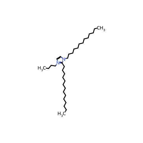 CCCCCCCCCCCCCCc1n(CCCCCCCCCCCCC)cc[n+]1CCCC